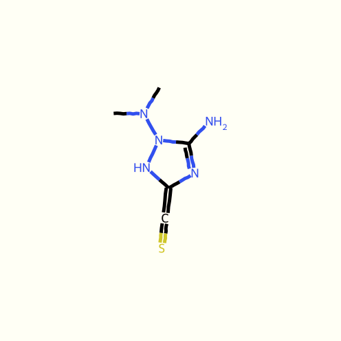 CN(C)N1NC(=C=S)N=C1N